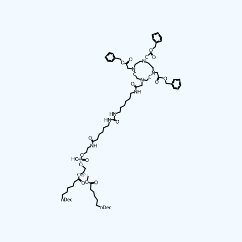 CCCCCCCCCCCCCCCC(=O)OC[C@@H](COP(=O)(O)OCCNC(=O)CCCCCNC(=O)NCCCCCCNC(=O)CN1CCN(CC(=O)OCc2ccccc2)CCN(CC(=O)OCc2ccccc2)CCN(CC(=O)OCc2ccccc2)CC1)OC(=O)CCCCCCCCCCCCCCC